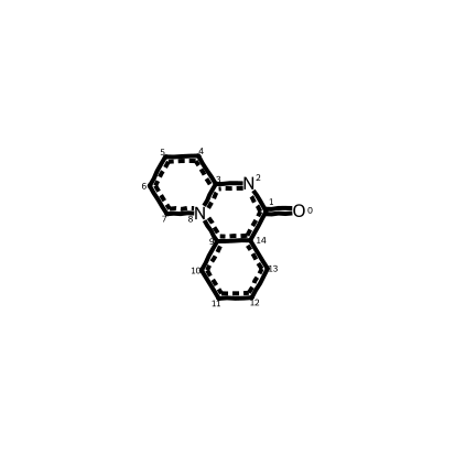 O=c1nc2ccccn2c2ccccc12